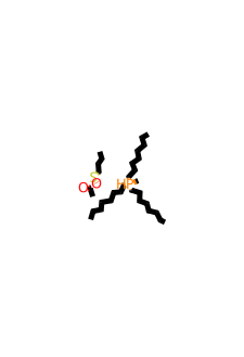 CCCCCCCC[PH](C)(CCCCCCCC)CCCCCCCC.CCCCSOC(C)=O